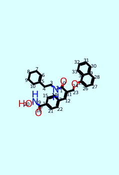 O=C(NCCC1=CCCCC1)C(=Cc1ccc(C(=O)NO)cc1)COc1cccc2ccccc12